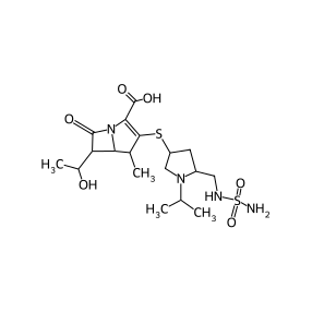 CC(O)C1C(=O)N2C(C(=O)O)=C(SC3CC(CNS(N)(=O)=O)N(C(C)C)C3)C(C)C12